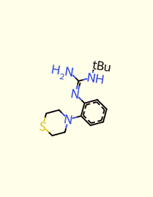 CC(C)(C)NC(N)=Nc1ccccc1N1CCSCC1